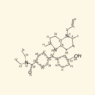 C=CCN1C(C)CCC2C1CCC(C)N2C(c1ccc(C(=O)N(CC)CC)cc1)c1cccc(O)c1